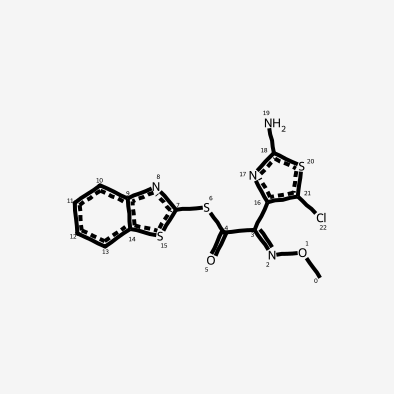 CO/N=C(/C(=O)Sc1nc2ccccc2s1)c1nc(N)sc1Cl